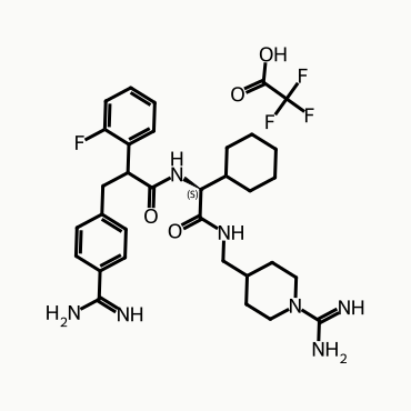 N=C(N)c1ccc(CC(C(=O)N[C@H](C(=O)NCC2CCN(C(=N)N)CC2)C2CCCCC2)c2ccccc2F)cc1.O=C(O)C(F)(F)F